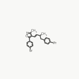 Cc1noc(-c2ccc(Br)cc2)c1C=CC(C)Cc1ccc(C(C)C)cc1